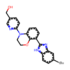 CC(C)(C)c1ccc2[nH]c(-c3cccc4c3OCCN4c3ccc(CO)cn3)nc2c1